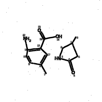 CC1CNC(=O)C1.Cc1ccc(N)c(C(=O)O)c1